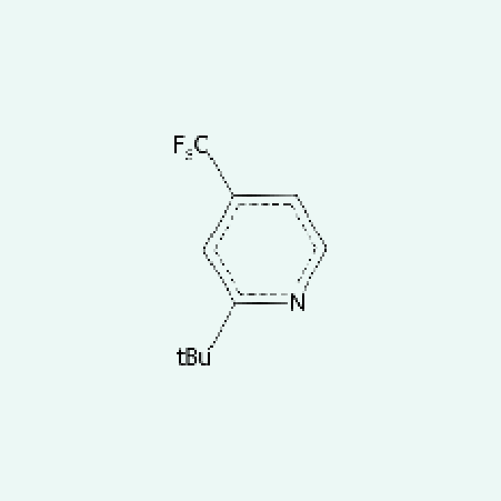 CC(C)(C)c1cc(C(F)(F)F)ccn1